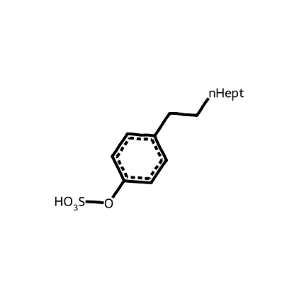 CCCCCCCCCc1ccc(OS(=O)(=O)O)cc1